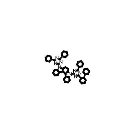 c1ccc(-c2nc(-c3ccccc3)nc(-n3c4ccccc4c4c5c6ccccc6n(-c6nc(-c7ccccc7)nc(-c7ccccc7-c7ccccc7)n6)c5ccc43)n2)cc1